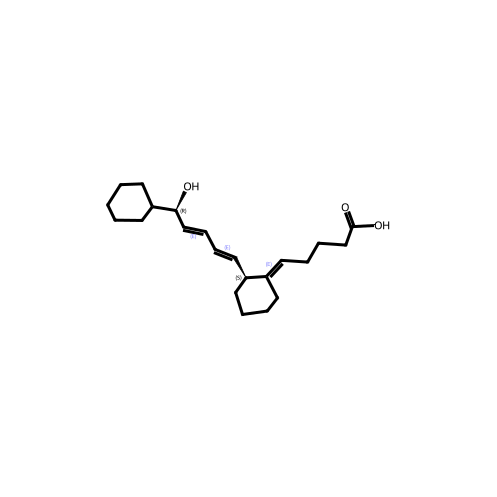 O=C(O)CCC/C=C1\CCCC[C@H]1/C=C/C=C/[C@H](O)C1CCCCC1